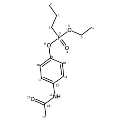 CCCP(=O)(OCC)Oc1ccc(NC(C)=O)cc1